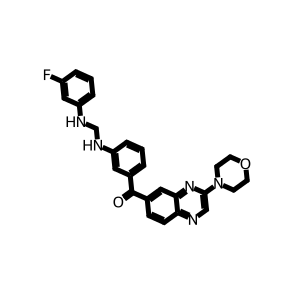 O=C(c1cccc(NCNc2cccc(F)c2)c1)c1ccc2ncc(N3CCOCC3)nc2c1